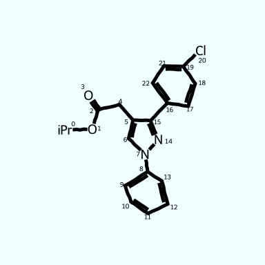 CC(C)OC(=O)Cc1cn(-c2ccccc2)nc1-c1ccc(Cl)cc1